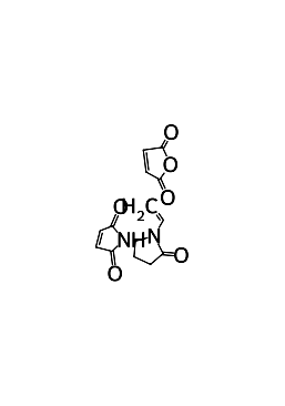 C=CN1CCCC1=O.O=C1C=CC(=O)N1.O=C1C=CC(=O)O1